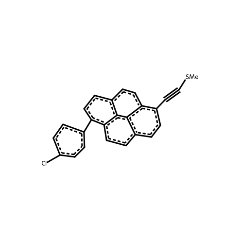 CSC#Cc1ccc2ccc3c(-c4ccc(Cl)cc4)ccc4ccc1c2c43